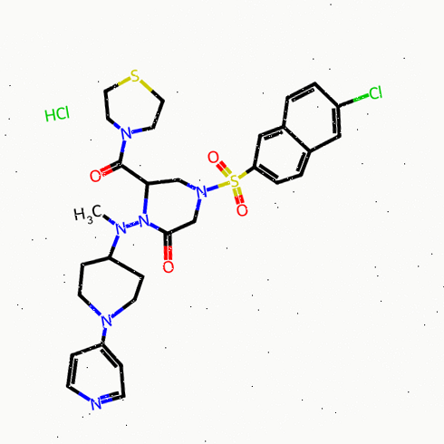 CN(C1CCN(c2ccncc2)CC1)N1C(=O)CN(S(=O)(=O)c2ccc3cc(Cl)ccc3c2)CC1C(=O)N1CCSCC1.Cl